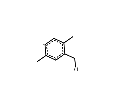 Cc1[c]cc(C)c(CCl)c1